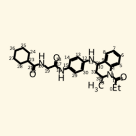 CCC(=O)N1c2ccccc2[C@H](Nc2ccc(NC(=O)CNC(=O)C3CCCCC3)cc2)C[C@@H]1C